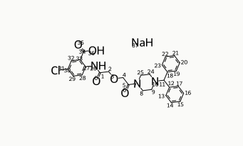 O=C(COCC(=O)N1CCN(C(c2ccccc2)c2ccccc2)CC1)Nc1ccc(Cl)cc1C(=O)O.[NaH]